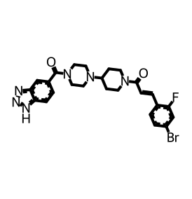 O=C(/C=C/c1ccc(Br)cc1F)N1CCC(N2CCN(C(=O)c3ccc4[nH]nnc4c3)CC2)CC1